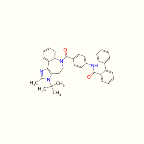 Cc1nc2c(n1C(C)(C)C)CCN(C(=O)c1ccc(NC(=O)c3ccccc3-c3ccccc3)cc1)c1ccccc1-2